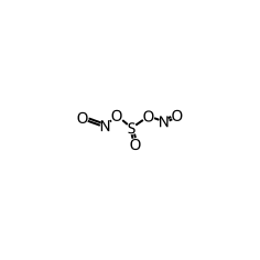 O=NOS(=O)ON=O